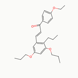 CCCOc1cc(C=CC(=O)c2ccc(OCC)cc2)c(CCC)c(OCCC)c1